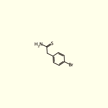 NC(=S)Cc1ccc(Br)cc1